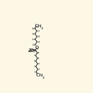 CCCCCCCCCC(=O)OCCCCCCCC.[Zn]